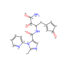 Cc1ncc(C(=O)NC(CC2=CC(=O)C=C2)C(=O)C(N)=O)n1-c1ccccn1